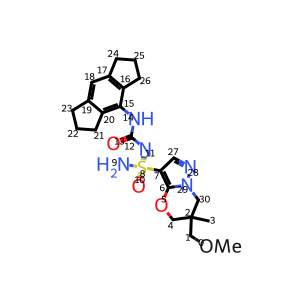 COCC1(C)COc2c(S(N)(=O)=NC(=O)Nc3c4c(cc5c3CCC5)CCC4)cnn2C1